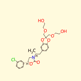 C[C@H](Cc1ccc2c(c1)OC(COCCO)(COCCO)O2)N1C[C@@H](c2cccc(Cl)c2)OC1=O